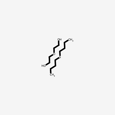 CCCCSCCCC.OCCOCCO